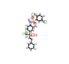 Cc1cc(C(O)(/C=C/c2ccccc2)C(F)(F)F)ccc1N(C)S(=O)(=O)c1cc(Cl)ccc1Cl